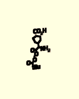 CC(C)(C)C(=O)OCOC(=O)C(N)[C@H]1CC[C@H](C(=O)O)CC1